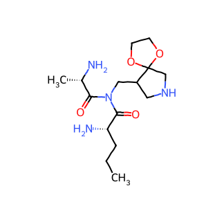 CCC[C@H](N)C(=O)N(CC1CNCC12OCCO2)C(=O)[C@H](C)N